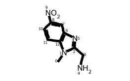 Cn1c(CN)nc2cc([N+](=O)[O-])ccc21